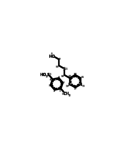 Cc1ccc(S(=O)(=O)O)cc1.OCCSCc1ccncn1